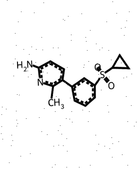 Cc1nc(N)ccc1-c1cccc(S(=O)(=O)C2CC2)c1